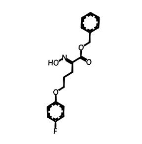 O=C(OCc1ccccc1)C(CCCOc1ccc(F)cc1)=NO